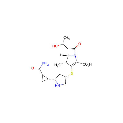 C[C@@H](O)[C@H]1C(=O)N2C(C(=O)O)=C(S[C@@H]3CN[C@H](C4CC4C(N)=O)C3)[C@H](C)[C@H]12